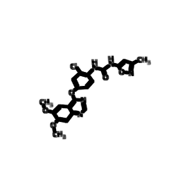 COc1cc2ncnc(Oc3ccc(NC(=O)Nc4cc(C)no4)c(Cl)c3)c2cc1OC